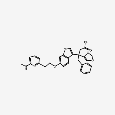 CNc1cccc(CCOc2ccc3c(C(CC(=O)O)(Cc4ccccc4)C4=COCO4)coc3c2)n1